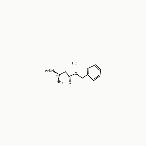 CC(=O)N[C@H](N)CC(=O)OCc1ccccc1.Cl